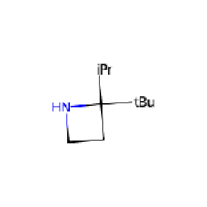 CC(C)C1(C(C)(C)C)CCN1